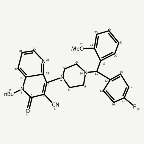 CCCCn1c(=O)c(C#N)c(N2CCN(C(c3ccc(F)cc3)c3ccccc3OC)CC2)c2ncccc21